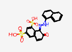 O=C1C=Cc2cc(S(=O)(=O)O)cc(S(=O)(=O)O)c2/C1=N/Nc1cccc2ccccc12